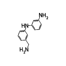 NCc1cccc(Nc2cccc(N)c2)c1